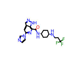 O=C(N[C@H]1CC[C@H](NCCC(F)(F)F)CC1)c1nc(-n2ccnc2)cc2cn[nH]c12